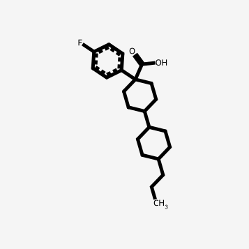 CCCC1CCC(C2CCC(C(=O)O)(c3ccc(F)cc3)CC2)CC1